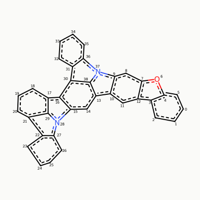 c1ccc2c(c1)oc1cc3c(cc12)c1cc2c(c4cccc5c6ccccc6n2c54)c2c4ccccc4n3c12